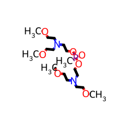 COCCN(CCOC)CCOP(C)(=O)OCCN(CCOC)CCOC